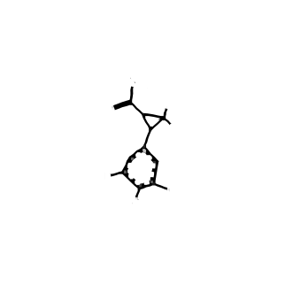 NC(=O)C1C(c2cc(F)c(Cl)c(Cl)c2)C1(Cl)Cl